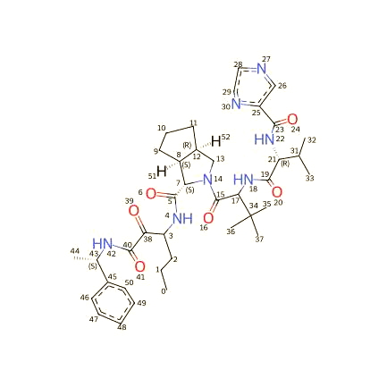 CCCC(NC(=O)[C@@H]1[C@H]2CCC[C@H]2CN1C(=O)C(NC(=O)[C@H](NC(=O)c1cnccn1)C(C)C)C(C)(C)C)C(=O)C(=O)N[C@@H](C)c1ccccc1